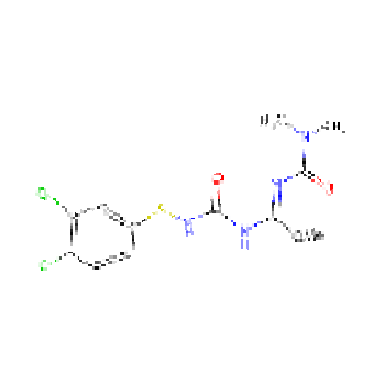 COC(=NC(=O)N(C)C)NC(=O)NSc1ccc(Cl)c(Cl)c1